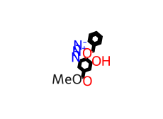 COC(=O)C1CC(N=[N+]=[N-])C(OCc2ccccc2)[C@H](O)C1